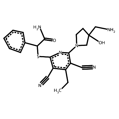 CCc1c(C#N)c(SC(C(N)=O)c2ccccc2)nc(N2CCC(O)(CN)C2)c1C#N